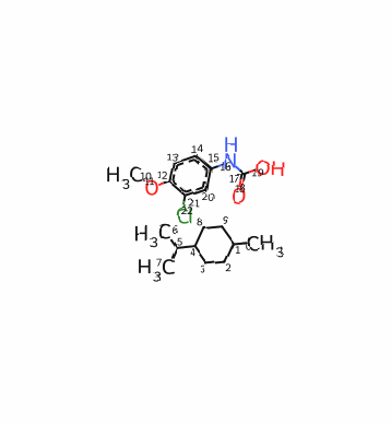 CC1CCC(C(C)C)CC1.COc1ccc(NC(=O)O)cc1Cl